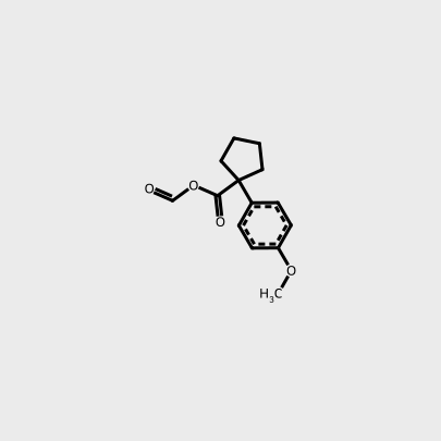 COc1ccc(C2(C(=O)OC=O)CCCC2)cc1